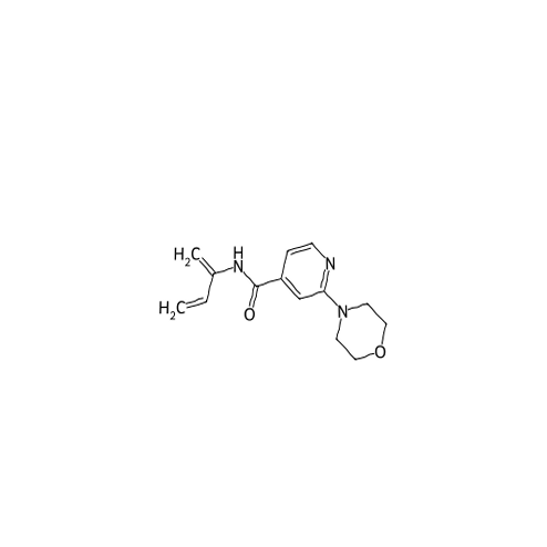 C=CC(=C)NC(=O)c1ccnc(N2CCOCC2)c1